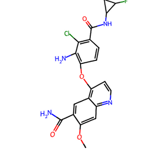 COc1cc2nccc(Oc3ccc(C(=O)NC4CC4F)c(Cl)c3N)c2cc1C(N)=O